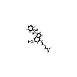 CN(C)CCCOc1cccc2c1ccn2S(=O)(=O)c1ccccc1.Cl